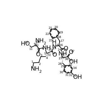 NCCCC[C@H](NC(=O)[C@@H](N)CO)C(=O)N[C@@H](Cc1ccccc1)C(=O)N[C@@H](Cc1ccc(O)cc1)C(=O)O